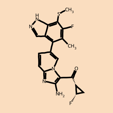 CSc1c(F)c(C)c(-c2ccc3nc(N)c(C(=O)[C@@H]4C[C@@H]4F)n3c2)c2cn[nH]c12